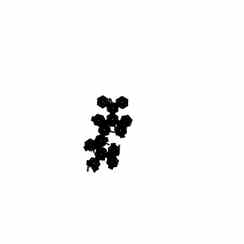 Cc1ccc2c(c1)c1ccccc1n2-c1cc(-c2cc(-c3ccccc3)nc(-c3ccccc3)c2)cc(-n2c3ccc(C)cc3c3cc(-c4cc5c6ccc(C)cc6n(-c6cc(-c7cc(C)nc(C)c7)cc(-n7c8cc(C)ccc8c8ccc(C)cc87)c6C#N)c5cc4C)ccc32)c1C#N